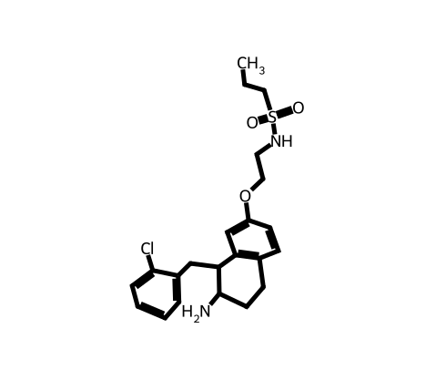 CCCS(=O)(=O)NCCOc1ccc2c(c1)C(Cc1ccccc1Cl)C(N)CC2